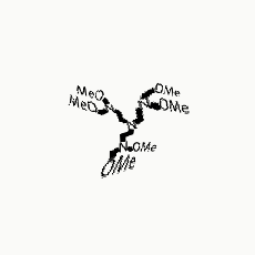 COCN(CCN(CCN(COC)COC)CCN(COC)COC)COC